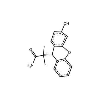 CC(C)(C(N)=O)[C@H]1c2ccccc2Oc2cc(O)ccc21